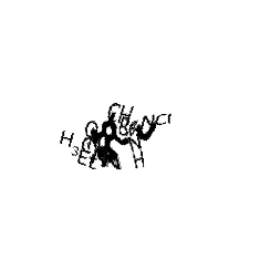 CCn1ncc2c3c(CCNc4ccc(Cl)nc4Br)cc(C)cc3c(=O)n(C)c21